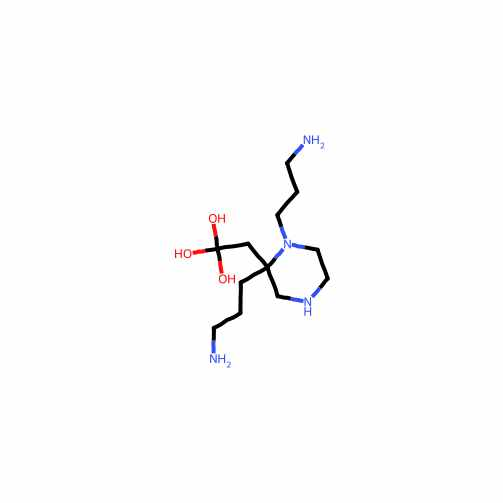 NCCCN1CCNCC1(CCCN)CC(O)(O)O